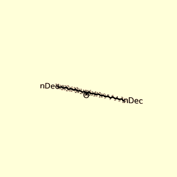 CCCCCCCCCCCCCCCCCCCCCCCCCCC(=O)CCCCCCCCCCCCCCCCCCCCCC